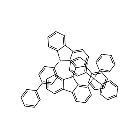 c1ccc(-c2ccc(-n3c4ccccc4c4ccc(-c5ccccc5)c(-n5c6ccccc6c6cccc([Si](c7ccccc7)(c7ccccc7)c7ccccc7)c65)c43)cc2)cc1